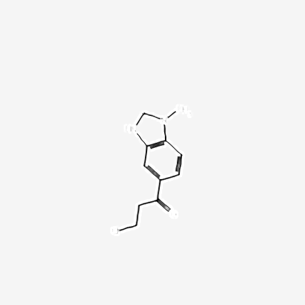 CN1[CH]Nc2cc(C(=O)CCCl)ccc21